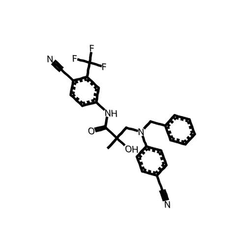 CC(O)(CN(Cc1ccccc1)c1ccc(C#N)cc1)C(=O)Nc1ccc(C#N)c(C(F)(F)F)c1